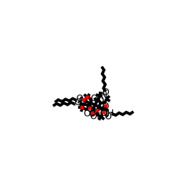 CCCCCCCON1C(C)(C)CC(C(CC(=O)O)(C(=O)O)C(C(=O)O)(C2CC(C)(C)N(OCCCCCCC)C(C)(C)C2)C(C(=O)O)(C2CC(C)(C)N(OCCCCCCC)C(C)(C)C2)C2CC(C)(C)N(OCCCCCCC)C(C)(C)C2)CC1(C)C